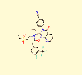 CC[C@H](c1nc2ncccc2c(=O)n1-c1ccc(C#N)cc1)N(CCS(=O)(=O)CC)C(=O)Cc1ccc(F)c(C(F)(F)F)c1